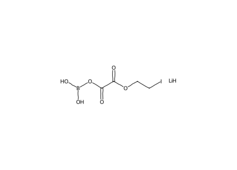 O=C(OCCI)C(=O)OB(O)O.[LiH]